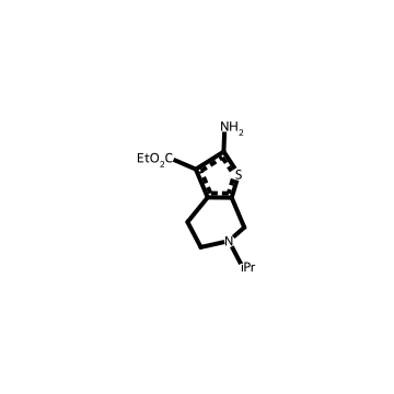 CCOC(=O)c1c(N)sc2c1CCN(C(C)C)C2